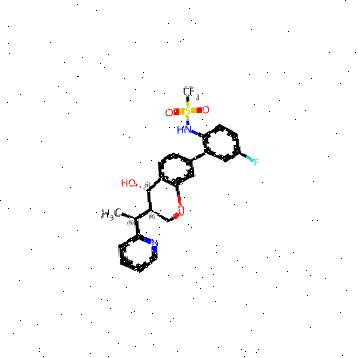 C[C@H](c1ccccn1)[C@@H]1COc2cc(-c3cc(F)ccc3NS(=O)(=O)C(F)(F)F)ccc2[C@H]1O